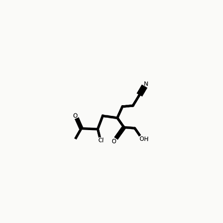 CC(=O)C(Cl)CC(CCC#N)C(=O)CO